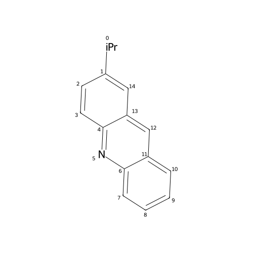 CC(C)c1ccc2nc3ccccc3cc2c1